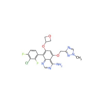 Cn1cnc(COc2cc(OC3COC3)c(-c3ccc(F)c(Cl)c3F)c3ncnc(N)c23)n1